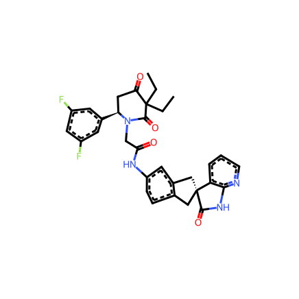 CCC1(CC)C(=O)C[C@H](c2cc(F)cc(F)c2)N(CC(=O)Nc2ccc3c(c2)C[C@@]2(C3)C(=O)Nc3ncccc32)C1=O